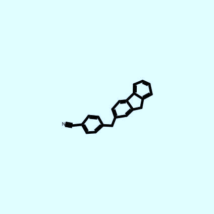 N#Cc1ccc(Cc2ccc3c(c2)Cc2ccccc2-3)cc1